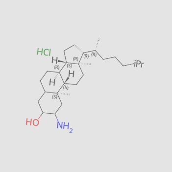 CC(C)CCC[C@@H](C)[C@H]1CC[C@H]2[C@@H]3CCC4CC(O)C(N)C[C@]4(C)[C@H]3CC[C@]12C.Cl